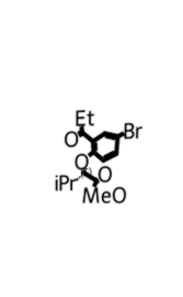 CCC(=O)c1cc(Br)ccc1O[C@H](C(=O)OC)C(C)C